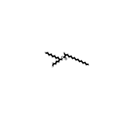 CCCCCCCCCCCCCC(C)C(=O)OCC(CCCCC)CCCCCCCC